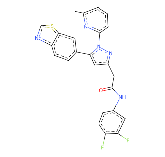 Cc1cccc(-n2nc(CC(=O)Nc3ccc(F)c(F)c3)cc2-c2ccc3ncsc3c2)n1